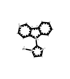 CC(C)n1ccnc1-n1c2ccccc2c2cnccc21